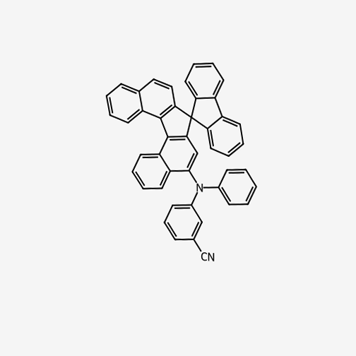 N#Cc1cccc(N(c2ccccc2)c2cc3c(c4ccccc24)-c2c(ccc4ccccc24)C32c3ccccc3-c3ccccc32)c1